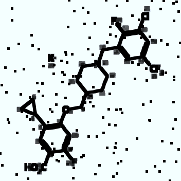 O=C(O)c1cc(C2CC2)c(OCC2CCN(Cc3cc(C(F)(F)F)cc(Cl)c3F)CC2)cc1F.[K]